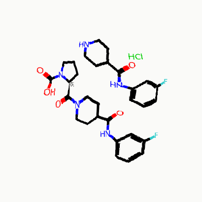 Cl.O=C(Nc1cccc(F)c1)C1CCN(C(=O)[C@@H]2CCCN2C(=O)O)CC1.O=C(Nc1cccc(F)c1)C1CCNCC1